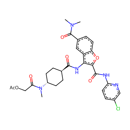 CC(=O)OCC(=O)N(C)[C@H]1CC[C@H](C(=O)Nc2c(C(=O)Nc3ccc(Cl)cn3)oc3ccc(C(=O)N(C)C)cc23)CC1